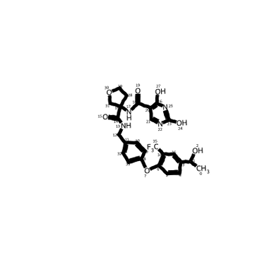 CC(O)c1ccc(Oc2ccc(CNC(=O)C3(NC(=O)c4cnc(O)nc4O)CCOC3)cc2)c(C(F)(F)F)c1